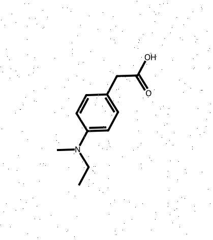 CCN(C)c1ccc(CC(=O)O)cc1